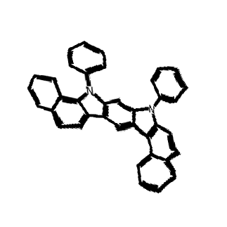 c1ccc(-n2c3cc4c(cc3c3c5ccccc5ccc32)c2ccc3ccccc3c2n4-c2ccccc2)cc1